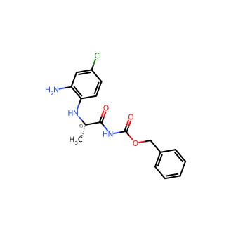 C[C@H](Nc1ccc(Cl)cc1N)C(=O)NC(=O)OCc1ccccc1